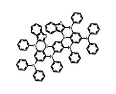 c1ccc(N(c2ccccc2)c2cc3c4c(c2)N(c2ccccc2)c2sc5ccccc5c2B4c2cc4c(cc2N3c2ccccc2)N(c2ccccc2)c2cc(N(c3ccccc3)c3ccccc3)cc3c2B4c2sc4ccccc4c2N3c2ccccc2)cc1